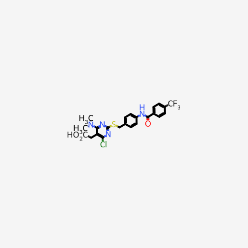 CN(C)c1nc(SCc2ccc(NC(=O)c3ccc(C(F)(F)F)cc3)cc2)nc(Cl)c1CC(=O)O